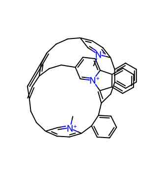 C[n+]1cc2ccc1-c1ccccc1C/C1=C3\c4ccccc4-c4ccc(c[n+]43)CCc3cc(cc(c3)CCc3ccc([n+](C)c3)-c3ccccc31)CC2